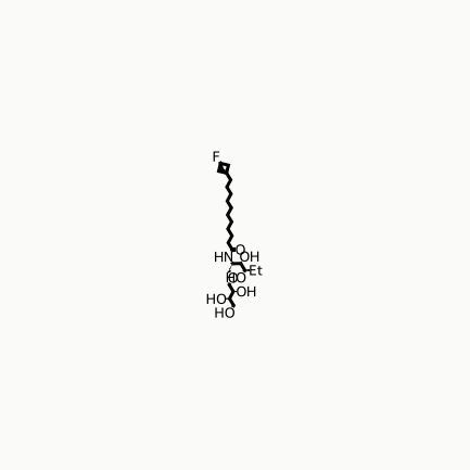 CC[C@@H](O)[C@@H](O)[C@H](COC[C@H](O)[C@@H](O)CO)NC(=O)CCCCCCCCCCC12CC(F)(C1)C2